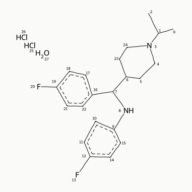 CC(C)N1CCC(C(Nc2ccc(F)cc2)c2ccc(F)cc2)CC1.Cl.Cl.O